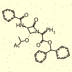 CC(=O)[C@@H](C)O[C@@H]1[C@@H](NC(=O)c2ccccc2)C(=O)N1C(=[PH3])C(=O)OC(c1ccccc1)c1ccccc1